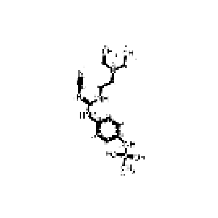 CCN(CC)CCN/C(=N\C#N)Nc1ccc(NS(C)(=O)=O)cc1